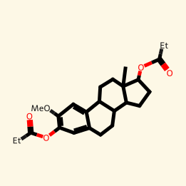 CCC(=O)Oc1cc2c(cc1OC)C1CCC3(C)C(OC(=O)CC)CCC3C1CC2